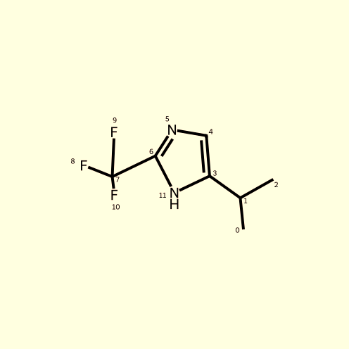 CC(C)c1cnc(C(F)(F)F)[nH]1